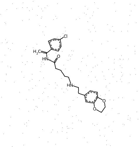 C=C(NC(=O)CCCCNCCc1ccc2c(c1)OCCO2)c1ccc(Cl)cc1